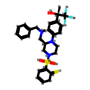 CN(Cc1ccccc1)C[C@@H]1CN(S(=O)(=O)C2=CC=CCC2=S)CCN1c1ccc([C@@](C)(O)C(F)(F)F)cc1